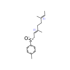 C/C=C(\C)CC/C(C)=C/C[S+]([O-])c1ccc(C)cc1